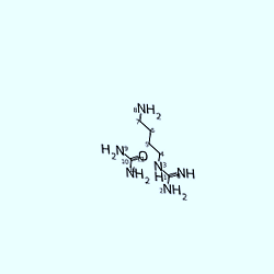 N=C(N)NCCCCN.NC(N)=O